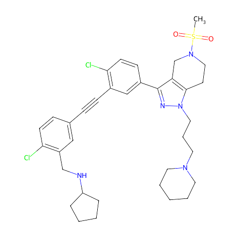 CS(=O)(=O)N1CCc2c(c(-c3ccc(Cl)c(C#Cc4ccc(Cl)c(CNC5CCCC5)c4)c3)nn2CCCN2CCCCC2)C1